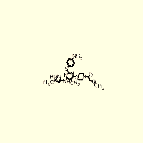 COCC(=O)N1CCN(c2nc(Sc3ccc(N)cc3)nc(Nc3cc(C)[nH]n3)c2C)CC1